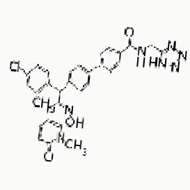 Cc1cc(Cl)ccc1C(/C(Cc1ccc(=O)n(C)c1)=N/O)c1ccc(-c2ccc(C(=O)NCc3nnn[nH]3)cc2)cc1